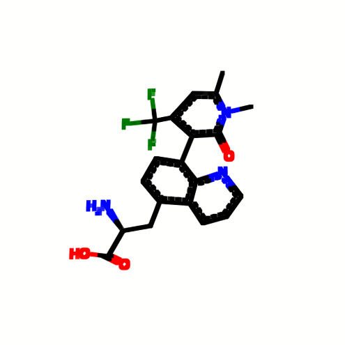 Cc1cc(C(F)(F)F)c(-c2ccc(C[C@H](N)C(=O)O)c3cccnc23)c(=O)n1C